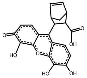 O=C(O)C1C2C=CC(C2)C1c1c2ccc(=O)c(O)c-2oc2c(O)c(O)ccc12